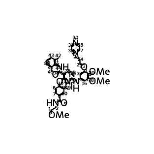 COCCNC(=O)c1ccc(Oc2nc(Nc3cc(OC)c(OC)c(OCCCN4CCN(C)CC4)c3)ncc2C(=O)Nc2c(C)cccc2C)c(Cl)c1